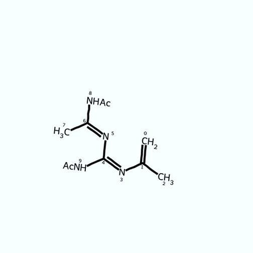 C=C(C)/N=C(\N=C(/C)NC(C)=O)NC(C)=O